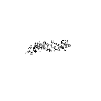 Cc1ccc(-n2ncc(C(=O)Nc3cnc(C4=CCC(N(C)C(=O)C(C)(C)C)CC4)c(C)c3)c2C)nc1